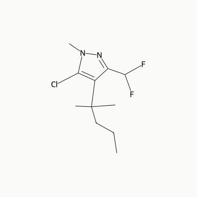 CCCC(C)(C)c1c(C(F)F)nn(C)c1Cl